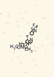 COc1ncc(-c2cc([C@H]3C[C@@H]3c3ccc4nc(C(F)F)sc4c3)c3nccn3n2)c(OC)n1